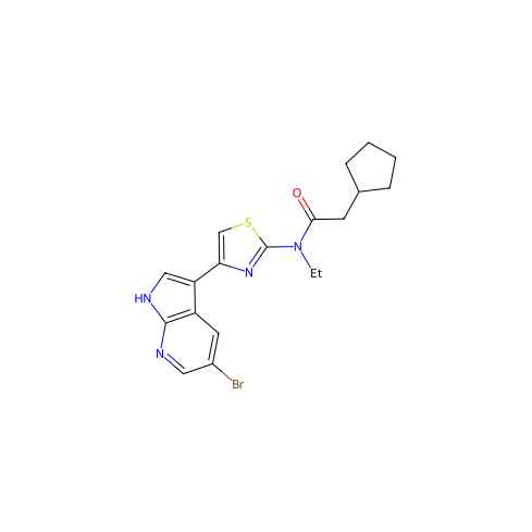 CCN(C(=O)CC1CCCC1)c1nc(-c2c[nH]c3ncc(Br)cc23)cs1